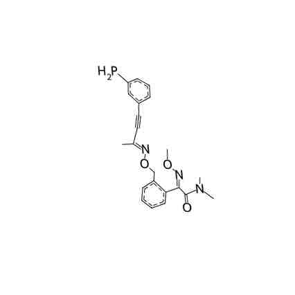 CO/N=C(/C(=O)N(C)C)c1ccccc1CO/N=C(\C)C#Cc1cccc(P)c1